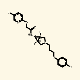 O=C(COc1ccc(Cl)cn1)N[C@@H]1[C@@H]2CN(CCCOc3ccc(Cl)cc3)C[C@@H]21